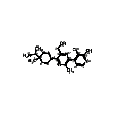 Cc1nc(N2CCC(C)([C@H](C)N)CC2)c(CO)nc1-c1ccnc(O)c1Cl